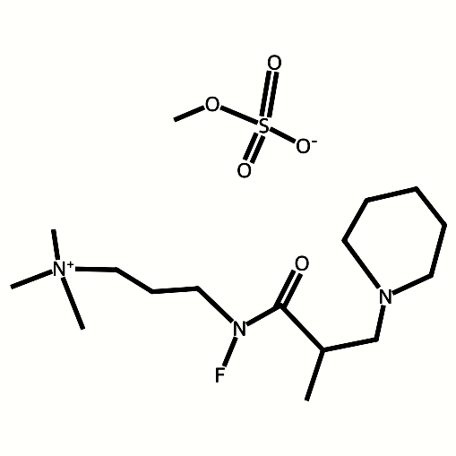 CC(CN1CCCCC1)C(=O)N(F)CCC[N+](C)(C)C.COS(=O)(=O)[O-]